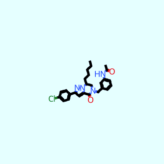 CCCCCC1CN(Cc2cccc(NC(C)=O)c2)C(=O)c2cc(-c3ccc(Cl)cc3)nn21